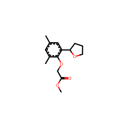 COC(=O)COc1c(C)cc(C)cc1C1CCCO1